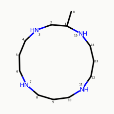 CC1CNCCCNCCCNCCCN1